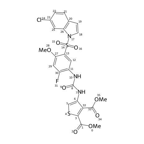 COC(=O)c1scc(NC(=O)Nc2cc(S(=O)(=O)n3ccc4ccc(Cl)cc43)c(OC)cc2F)c1C(=O)OC